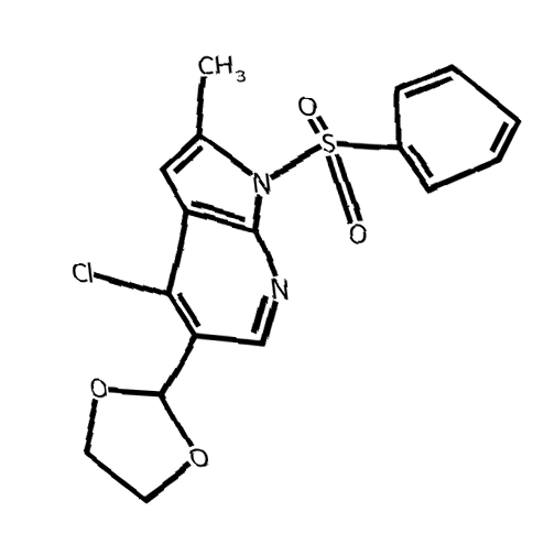 Cc1cc2c(Cl)c(C3OCCO3)cnc2n1S(=O)(=O)c1ccccc1